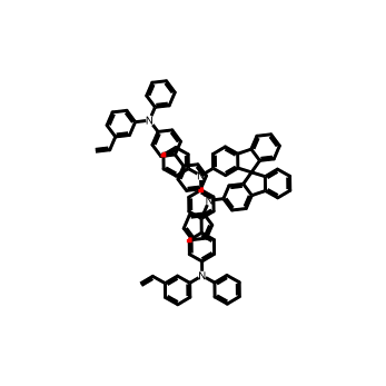 C=Cc1cccc(N(c2ccccc2)c2ccc(-c3ccc(N(c4ccccc4)c4ccc5c(c4)C4(c6ccccc6-5)c5ccccc5-c5ccc(N(c6ccccc6)c6ccc(-c7ccc(N(c8ccccc8)c8cccc(C=C)c8)cc7)cc6)cc54)cc3)cc2)c1